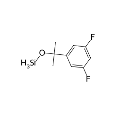 CC(C)(O[SiH3])c1cc(F)cc(F)c1